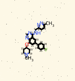 Cc1ccc(CNc2ncnc3c(OC4CCN(C)CC4)cc(-c4ccc(F)cc4)cc23)nn1